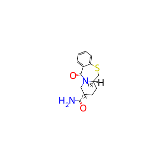 NC(=O)[C@H]1CC[C@H]2CSc3ccccc3C(=O)N2C1